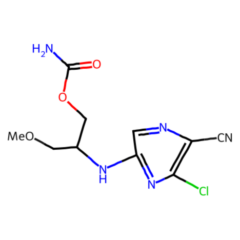 COCC(COC(N)=O)Nc1cnc(C#N)c(Cl)n1